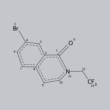 O=c1c2cc(Br)ccc2ccn1CC(F)(F)F